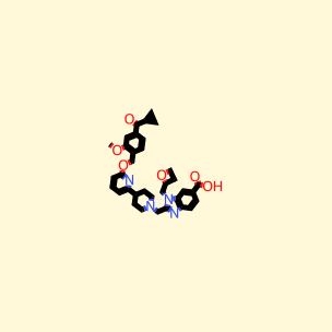 COc1cc(C(=O)C2CC2)ccc1COc1cccc(C2CCN(Cc3nc4ccc(C(=O)O)cc4n3CC3CCO3)CC2)n1